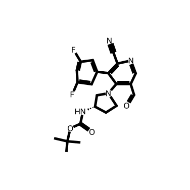 CC(C)(C)OC(=O)N[C@H]1CCN(c2c(C=O)cnc(C#N)c2-c2cc(F)cc(F)c2)C1